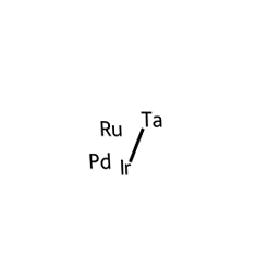 [Pd].[Ru].[Ta][Ir]